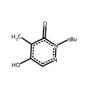 CCCCn1ncc(O)c(C)c1=O